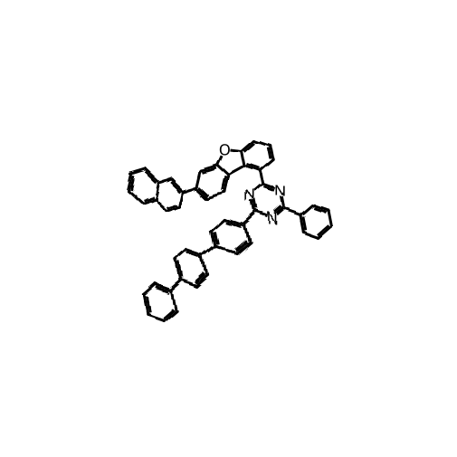 c1ccc(-c2ccc(-c3ccc(-c4nc(-c5ccccc5)nc(-c5cccc6oc7cc(-c8ccc9ccccc9c8)ccc7c56)n4)cc3)cc2)cc1